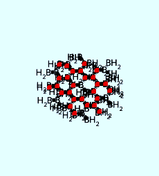 BB(B)B(B(B)B)B(B(B)B(B)S)B(B(B(B)B)B(B)B)B(B(B(B(B(B)B)B(B)B)B(B(B)B)B(B)B)B(B(B(B)B)B(B)B)B(B(B)B)B(B)B)B(B(B(B(B)B)B(B)B)B(B(B)B)B(B)B)B(B(B(B)B)B(B)B)B(B(B)B)B(B)B